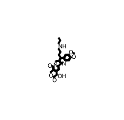 CCCNCCCc1c2c(nc3cc4c(cc13)OCO4)-c1cc3c(c(=O)n1C2)COC(=O)[C@H]3O